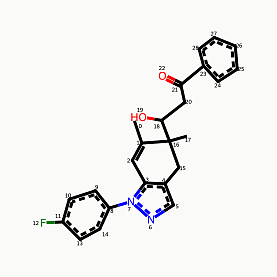 CC1=Cc2c(cnn2-c2ccc(F)cc2)CC1(C)C(O)CC(=O)c1ccccc1